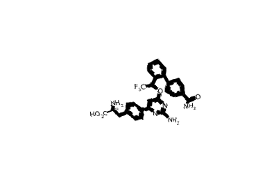 NC(=O)c1ccc(-c2ccccc2C(Oc2cc(-c3ccc(C[C@H](N)C(=O)O)cc3)nc(N)n2)C(F)(F)F)cc1